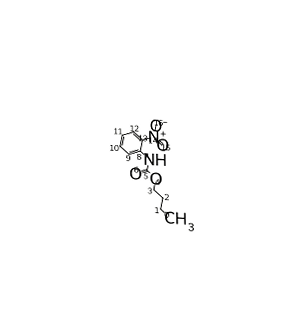 CCCCOC(=O)Nc1ccccc1[N+](=O)[O-]